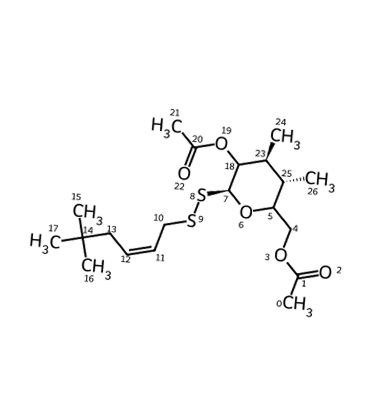 CC(=O)OCC1O[C@@H](SSC/C=C\CC(C)(C)C)C(OC(C)=O)[C@@H](C)[C@@H]1C